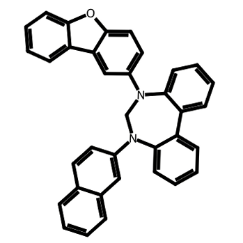 c1ccc2c(c1)-c1ccccc1N(c1ccc3oc4ccccc4c3c1)CN2c1ccc2ccccc2c1